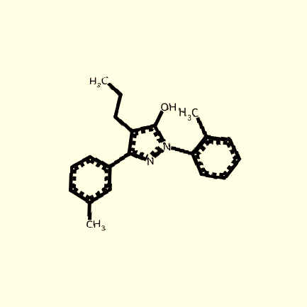 CCCc1c(-c2cccc(C)c2)nn(-c2ccccc2C)c1O